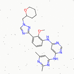 COc1c(Nc2cc(Nc3cc(C)nc(C)n3)ncn2)cccc1-c1ncn(CC2CCCCO2)n1